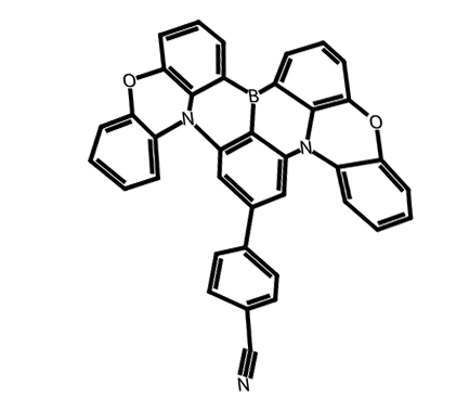 N#Cc1ccc(-c2cc3c4c(c2)N2c5ccccc5Oc5cccc(c52)B4c2cccc4c2N3c2ccccc2O4)cc1